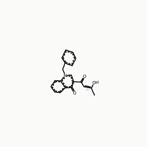 C/C(O)=C/C(=O)c1cn(Cc2ccccc2)c2ccccc2c1=O